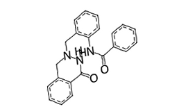 O=C(Nc1ccccc1CN1Cc2ccccc2C(=O)N1)c1ccccc1